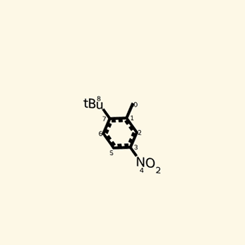 [CH2]c1cc([N+](=O)[O-])ccc1C(C)(C)C